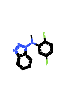 CN(c1cc(F)ccc1F)n1nnc2ccccc21